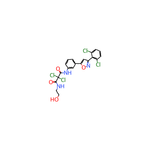 O=C(NCCO)C(Cl)(Cl)C(=O)Nc1cccc(-c2cc(-c3c(Cl)cccc3Cl)no2)c1